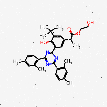 Cc1ccc(-c2nc(-c3ccc(C)cc3C)nc(-c3cc(C(C)C(=O)OCCO)cc(C(C)(C)C)c3O)n2)c(C)c1